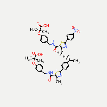 Cc1nc(-c2ccc(C(C)C)cc2)sc1C(=O)NCc1ccc(OC(C)(C)C(=O)O)cc1.Cc1nc(-c2ccc([N+](=O)[O-])cc2)sc1C(=O)NCc1ccc(OC(C)(C)C(=O)O)cc1